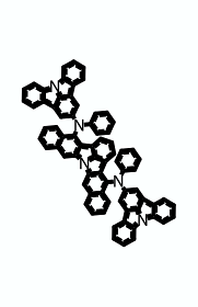 c1ccc(N(c2cc3c4ccccc4n4c5ccccc5c(c2)c34)c2c3ccccc3cc3c2c2cccc4c5c(N(c6ccccc6)c6cc7c8ccccc8n8c9ccccc9c(c6)c78)c6ccccc6cc5n3c24)cc1